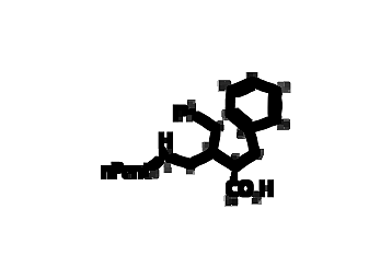 CCCCCNCC(CC(C)C)[C@H](Cc1ccccc1)C(=O)O